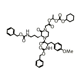 COc1ccc(CC(NC(=O)OCc2ccccc2)C(=O)N2CCN(CC(=O)OC(C)OC(=O)OC3CCCCC3)C(=O)[C@@H]2CCCNC(=O)OCc2ccccc2)cc1